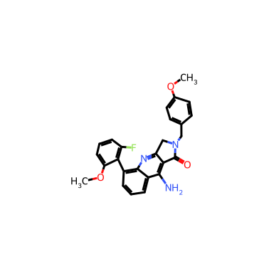 COc1ccc(CN2Cc3nc4c(-c5c(F)cccc5OC)cccc4c(N)c3C2=O)cc1